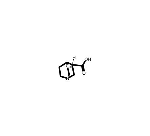 O=C(O)[C@H]1CN2CCC1CC2